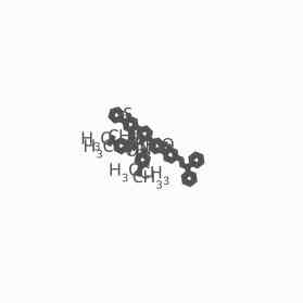 CC(C)(C)c1ccc(Nc2cc3c(cc2-c2ccc4c5cc6sc7ccccc7c6cc5n5c4c2Bc2oc4ccc(C(C)(C)C)cc4c2-5)oc2cc(CCC(c4ccccc4)c4ccccc4)ccc23)cc1